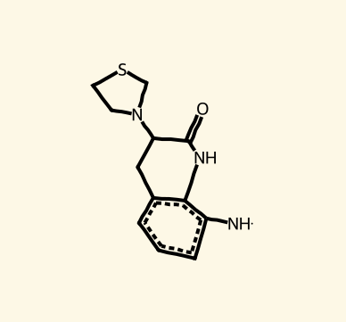 [NH]c1cccc2c1NC(=O)C(N1CCSC1)C2